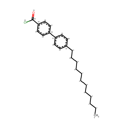 CCCCCCCCCCCCc1ccc(-c2ccc(C(=O)Cl)cc2)cc1